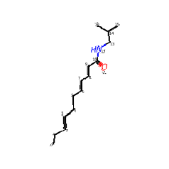 CCC=CCCC=CC=CC(=O)NCC(C)C